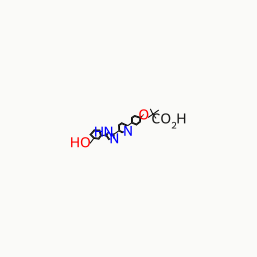 CC(C)(COc1ccc(-c2ccc(-c3ncc(-c4cccc(CO)c4)[nH]3)cn2)cc1)C(=O)O